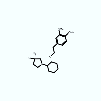 [2H][C@@]1(O)CCN(C2CCCC[C@H]2OCCc2ccc(OC)c(OC)c2)C1